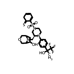 CC(O)(c1ccc(N2CCN(S(=O)(=O)C3=CC=CCC3=S)C[C@@H]2CN2C3COCC2C(O)C3)cc1)C(F)(F)F